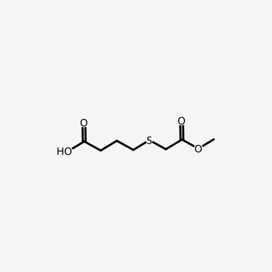 COC(=O)CSCCCC(=O)O